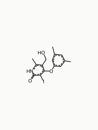 Cc1cc(C)cc(Oc2c(CO)c(C)[nH]c(=O)c2I)c1